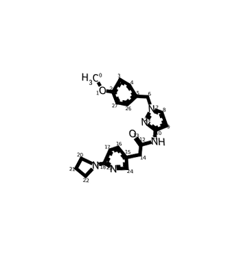 COc1ccc(Cn2ccc(NC(=O)Cc3ccc(N4CCC4)nc3)n2)cc1